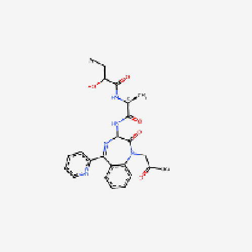 CC(C)CC(O)C(=O)N[C@@H](C)C(=O)NC1N=C(c2ccccn2)c2ccccc2N(CC(=O)C(C)(C)C)C1=O